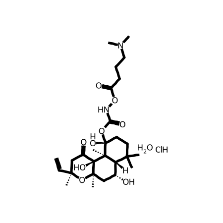 C=C[C@@]1(C)CC(=O)[C@]2(O)[C@]3(C)[C@@H]([C@H](O)C[C@@]2(C)O1)C(C)(C)CC[C@@]3(O)OC(=O)NOC(=O)CCCN(C)C.Cl.O